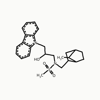 CC1C2CCC1C(CN(CC(O)Cn1c3ccccc3c3ccccc31)S(C)(=O)=O)C2